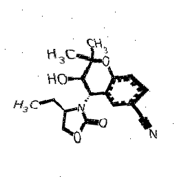 CC[C@@H]1COC(=O)N1[C@H]1c2cc(C#N)ccc2OC(C)(C)[C@@H]1O